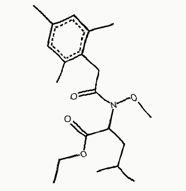 CCOC(=O)C(CC(C)C)N(OC)C(=O)Cc1c(C)cc(C)cc1C